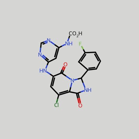 O=C(O)Nc1cc(Nc2cc(Cl)c3n(c2=O)C(c2cccc(F)c2)NC3=O)ncn1